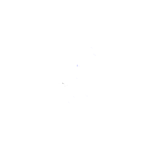 C[C@]1(C(F)(F)F)CN(C(=O)Nc2cnnc(C(F)F)c2)c2cnc3cc(CC(F)(F)F)nn3c21